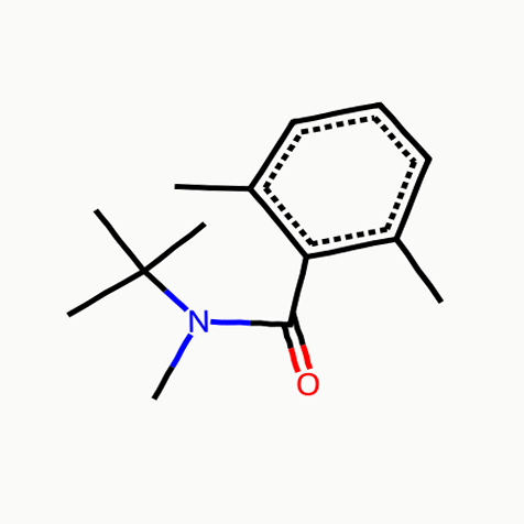 Cc1cccc(C)c1C(=O)N(C)C(C)(C)C